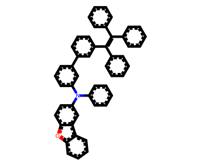 c1ccc(C(=C(c2ccccc2)c2cccc(-c3cccc(N(c4ccccc4)c4ccc5oc6ccccc6c5c4)c3)c2)c2ccccc2)cc1